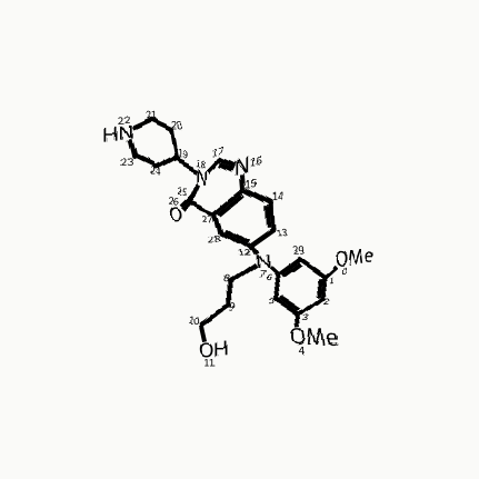 COc1cc(OC)cc(N(CCCO)c2ccc3ncn(C4CCNCC4)c(=O)c3c2)c1